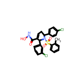 Cc1ccccc1S(=O)(=O)N1C(c2ccc(Cl)cc2)CC=C(C(=O)NO)C1c1cccc(Cl)c1